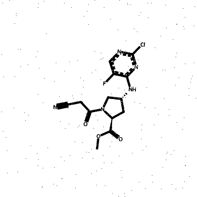 COC(=O)[C@@H]1C[C@@H](Nc2nc(Cl)ncc2F)CN1C(=O)CC#N